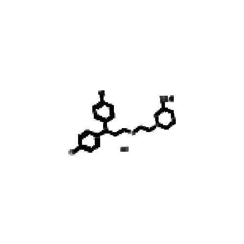 Cl.O=C(O)C1CCCN(CCOCCC(c2ccc(Cl)cc2)c2ccc(Cl)cc2)C1